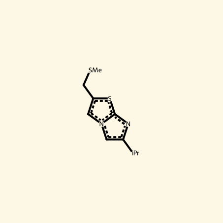 CSCc1cn2cc(C(C)C)nc2s1